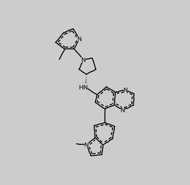 Cc1cccnc1N1CC[C@H](Nc2cc(-c3ccc4ccn(C)c4c3)c3nccnc3c2)C1